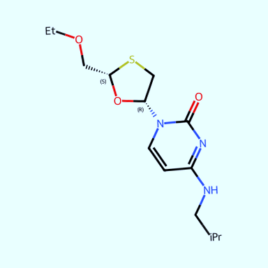 CCOC[C@H]1O[C@@H](n2ccc(NCC(C)C)nc2=O)CS1